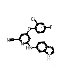 N#Cc1cc(Oc2ccc(F)cc2Cl)cc(Nc2ccc3cc[nH]c3c2)n1